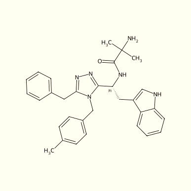 Cc1ccc(Cn2c(Cc3ccccc3)nnc2[C@@H](Cc2c[nH]c3ccccc23)NC(=O)C(C)(C)N)cc1